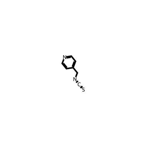 S=C=NCc1ccncc1